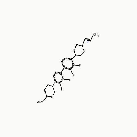 C/C=C/C1CCC(c2ccc(-c3ccc(C4CCC(CCC)OC4)c(F)c3F)c(F)c2F)CC1